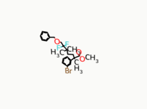 COC(=O)C(C)(CCC(C)(C)C(F)(F)COCc1ccccc1)c1cccc(Br)c1